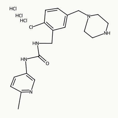 Cc1ccc(NC(=O)NCc2cc(CN3CCNCC3)ccc2Cl)cn1.Cl.Cl.Cl